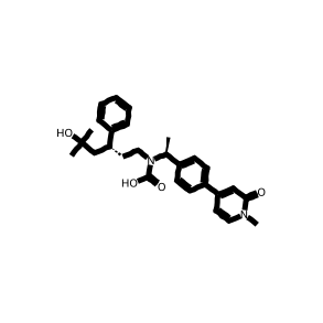 C[C@@H](c1ccc(-c2ccn(C)c(=O)c2)cc1)N(CC[C@H](CC(C)(C)O)c1ccccc1)C(=O)O